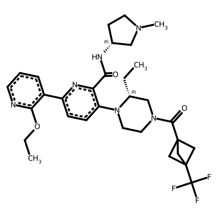 CCOc1ncccc1-c1ccc(N2CCN(C(=O)C34CC(C(F)(F)F)(C3)C4)C[C@H]2CC)c(C(=O)N[C@@H]2CCN(C)C2)n1